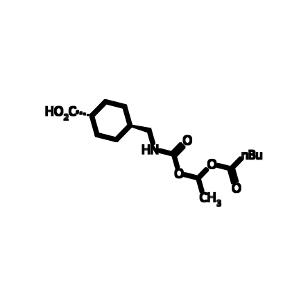 CCCCC(=O)OC(C)OC(=O)NC[C@H]1CC[C@H](C(=O)O)CC1